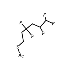 CC(=O)SCCC(F)(F)CC(F)C(F)F